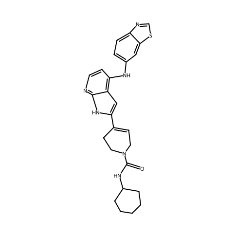 O=C(NC1CCCCC1)N1CC=C(c2cc3c(Nc4ccc5ncsc5c4)ccnc3[nH]2)CC1